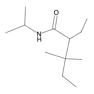 CCC(C(=O)NC(C)C)C(C)(C)CC